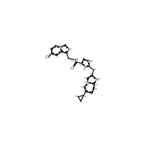 O=C(NCc1ncn2ccc(Cl)cc12)c1cnc(Cc2cn3cc(C4CC4)ccc3n2)s1